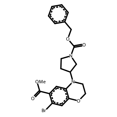 COC(=O)c1cc2c(cc1Br)OCCN2C1CCN(C(=O)OCc2ccccc2)C1